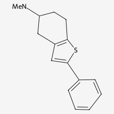 CNC1CCc2sc(-c3ccccc3)cc2C1